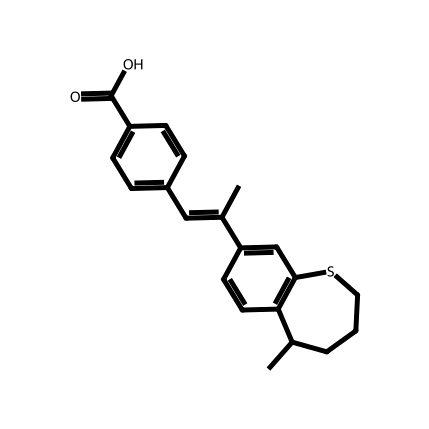 CC(=Cc1ccc(C(=O)O)cc1)c1ccc2c(c1)SCCCC2C